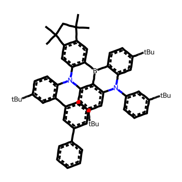 CC(C)(C)c1cccc(N2c3cc(C(C)(C)C)ccc3B3c4cc5c(cc4N(c4ccc(C(C)(C)C)cc4-c4cccc(-c6ccccc6)c4)c4cc(C(C)(C)C)cc2c43)C(C)(C)CC5(C)C)c1